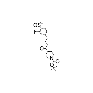 C[S+]([O-])c1ccc(CCCC(=O)C2CCN(C(=O)OC(C)(C)C)CC2)cc1F